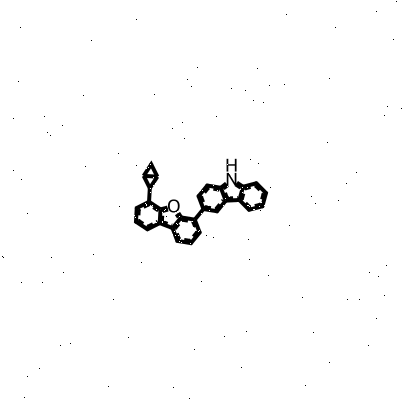 c1ccc2c(c1)[nH]c1ccc(-c3cccc4c3oc3c(C5C6CC65)cccc34)cc12